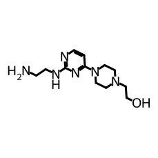 NCCNc1nccc(N2CCN(CCO)CC2)n1